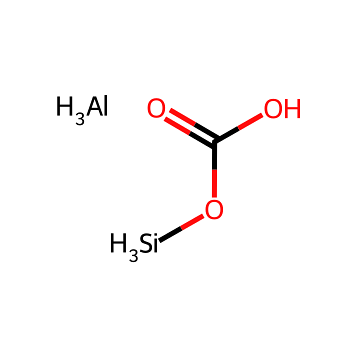 O=C(O)O[SiH3].[AlH3]